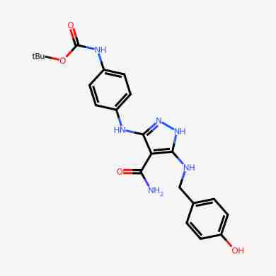 CC(C)(C)OC(=O)Nc1ccc(Nc2n[nH]c(NCc3ccc(O)cc3)c2C(N)=O)cc1